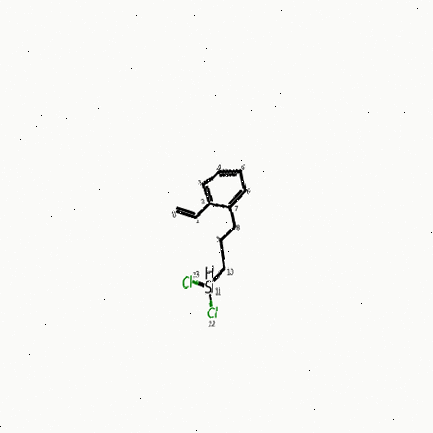 C=Cc1ccccc1CCC[SiH](Cl)Cl